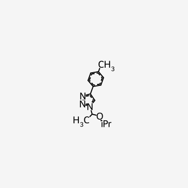 Cc1ccc(-c2cn(C(C)OC(C)C)nn2)cc1